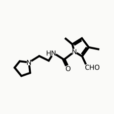 Cc1cc(C)n(C(=O)NCCN2CCCC2)c1C=O